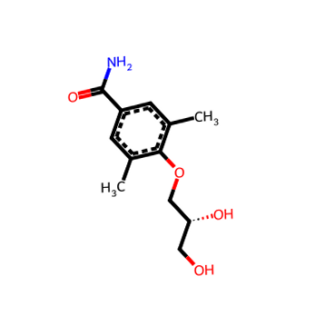 Cc1cc(C(N)=O)cc(C)c1OC[C@H](O)CO